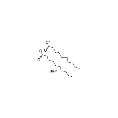 CCCCCCCCCC(=O)[O-].CCCCCCCCCC(=O)[O-].[Ba+2]